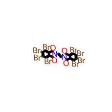 O=C1c2c(Br)c(Br)c(Br)c(Br)c2C(=O)N1/C=C/N1C(=O)c2c(Br)c(Br)c(Br)c(Br)c2C1=O